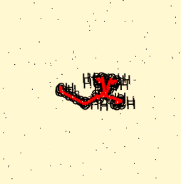 COP(=O)(O)OCCOCCOCCOCCOCCOCCOP(=O)(O)OCCCCCCSC1CC(=O)N(CCC(=O)NC(COCCC(=O)NCCCCC(C(=O)O)N(CC(=O)O)CC(=O)O)(COCCC(=O)NCCCCC(C(=O)O)N(CC(=O)O)CC(=O)O)COCCC(=O)NCCCCC(C(=O)O)N(CC(=O)O)CC(=O)O)C1=O